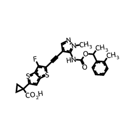 Cc1ccccc1C(C)OC(=O)Nc1c(C#Cc2sc3cc(C4(C(=O)O)CC4)sc3c2F)cnn1C